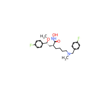 CO[C@H](C[C@H](CCCCN(C)Cc1ccc(F)cc1)C(=O)NO)c1ccc(F)cc1